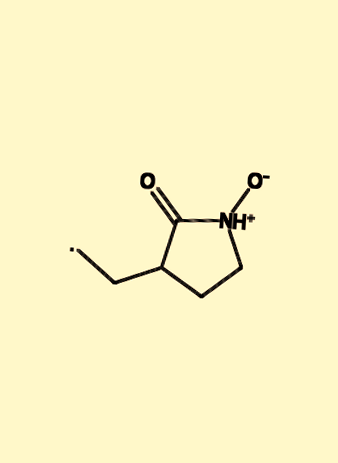 [CH2]CC1CC[NH+]([O-])C1=O